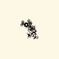 CC(=O)OCC1=C(C(=O)OC(C)(C)C)N2C(=O)[C@@H](NS(=O)(=O)c3ccc([N+](=O)[O-])cc3[N+](=O)[O-])[C@H]2SC1